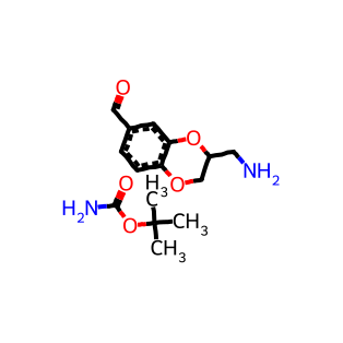 CC(C)(C)OC(N)=O.NCC1COc2ccc(C=O)cc2O1